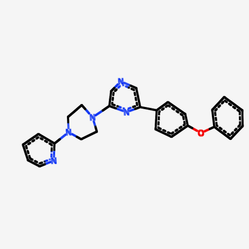 c1ccc(Oc2ccc(-c3cncc(N4CCN(c5ccccn5)CC4)n3)cc2)cc1